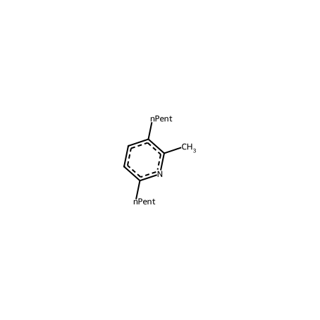 CCCCCc1ccc(CCCCC)c(C)n1